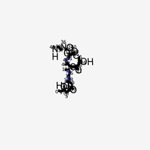 CC[C@@H](O)[C@@H](C)[C@H]1O[C@@H]1CC(C)(O)/C=C/C=C(\C)[C@H]1OC(=O)C[C@@H](O)CC[C@](C)(OC)[C@@H](OC(=O)N(C)CCNC)/C=C/[C@@H]1C